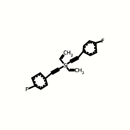 C=C[Si](C#Cc1ccc(F)cc1)(C#Cc1ccc(F)cc1)C=C